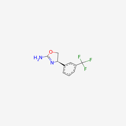 NC1=N[C@H](c2cccc(C(F)(F)F)c2)CO1